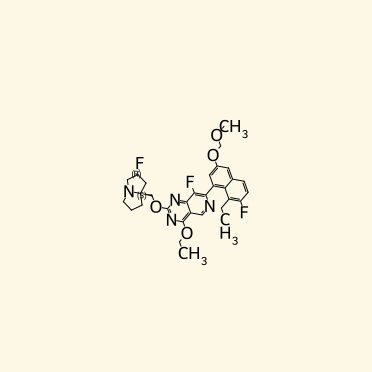 CCOc1nc(OC[C@@]23CCCN2C[C@H](F)C3)nc2c(F)c(-c3cc(OCOC)cc4ccc(F)c(CC)c34)ncc12